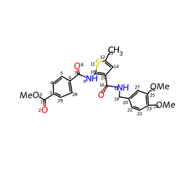 COC(=O)c1ccc(C(=O)Nc2sc(C)cc2C(=O)NCc2ccc(OC)c(OC)c2)cc1